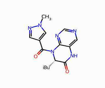 CCC(C)[C@H]1C(=O)Nc2cncnc2N1C(=O)c1cnn(C)c1